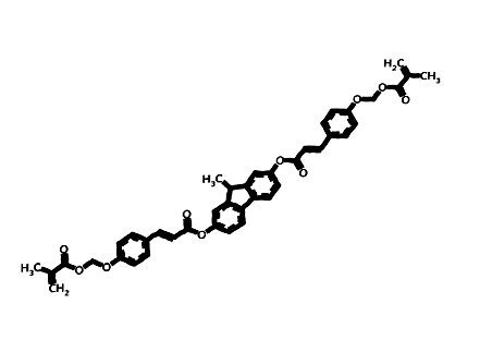 C=C(C)C(=O)OCOc1ccc(/C=C/C(=O)Oc2ccc3c(c2)C(C)c2cc(OC(=O)/C=C/c4ccc(OCOC(=O)C(=C)C)cc4)ccc2-3)cc1